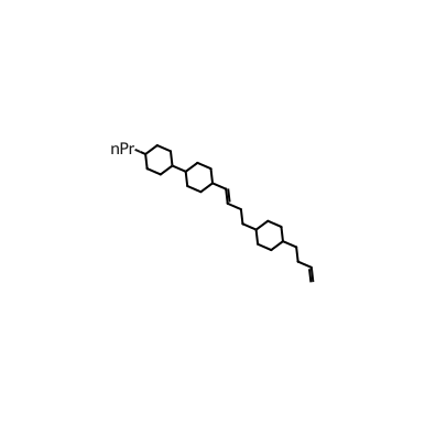 C=CCCC1CCC(CCC=CC2CCC(C3CCC(CCC)CC3)CC2)CC1